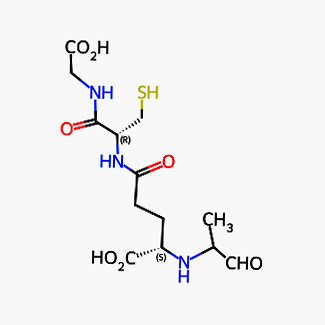 CC(C=O)N[C@@H](CCC(=O)N[C@@H](CS)C(=O)NCC(=O)O)C(=O)O